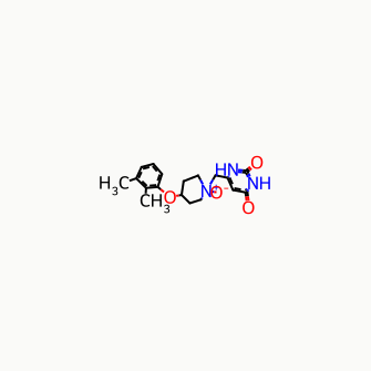 Cc1cccc(OC2CC[N+]([O-])(Cc3cc(=O)[nH]c(=O)[nH]3)CC2)c1C